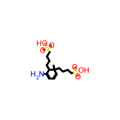 CC1(CCCCS(=O)(=O)O)C=CC=C(N)C1CCCCS(=O)(=O)O